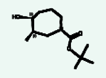 C[C@@H]1CN(C(=O)OC(C)(C)C)CCC[C@H]1O